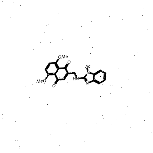 COc1ccc(OC)c2c1C(=O)C=C(CNc1nc3ccccc3n1C(C)=O)C2=O